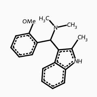 COc1ccccc1C(c1c(C)[nH]c2ccccc12)N(C)C